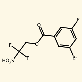 O=C(OCC(F)(F)S(=O)(=O)O)c1cc(F)cc(Br)c1